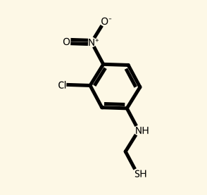 O=[N+]([O-])c1ccc(NCS)cc1Cl